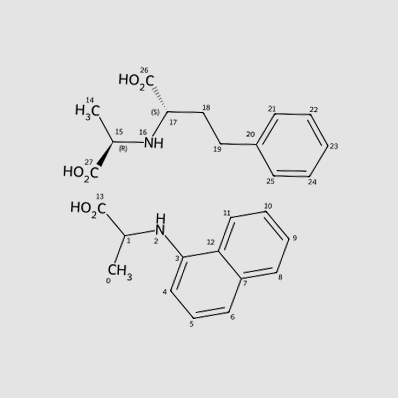 CC(Nc1cccc2ccccc12)C(=O)O.C[C@@H](N[C@@H](CCc1ccccc1)C(=O)O)C(=O)O